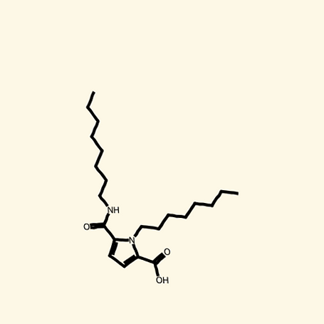 CCCCCCCCNC(=O)c1ccc(C(=O)O)n1CCCCCCCC